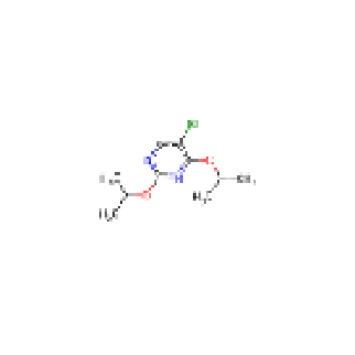 CC(C)Oc1ncc(Br)c(OC(C)C)n1